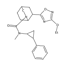 CCOc1noc(C2CC3CCC2N(C(=O)N(C)C2CC2c2ccccc2)C3)n1